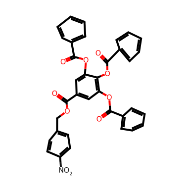 O=C(OCc1ccc([N+](=O)[O-])cc1)c1cc(OC(=O)c2ccccc2)c(OC(=O)c2ccccc2)c(OC(=O)c2ccccc2)c1